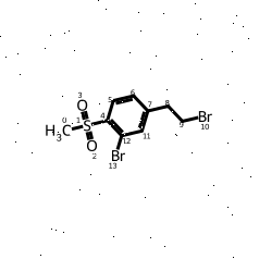 CS(=O)(=O)c1ccc(CCBr)cc1Br